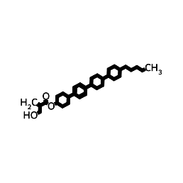 C=C(CO)C(=O)OC1CCC(c2ccc(C3CCC(C4CCC(CCCCC)CC4)CC3)cc2)CC1